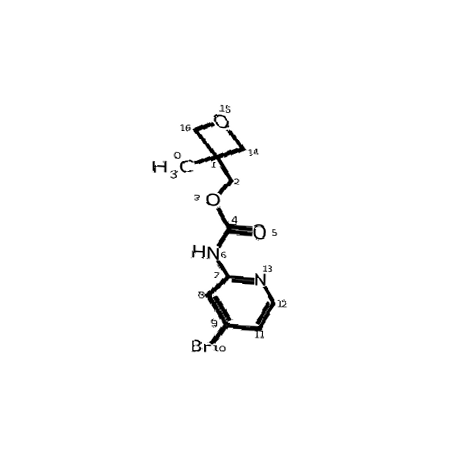 CC1(COC(=O)Nc2cc(Br)ccn2)COC1